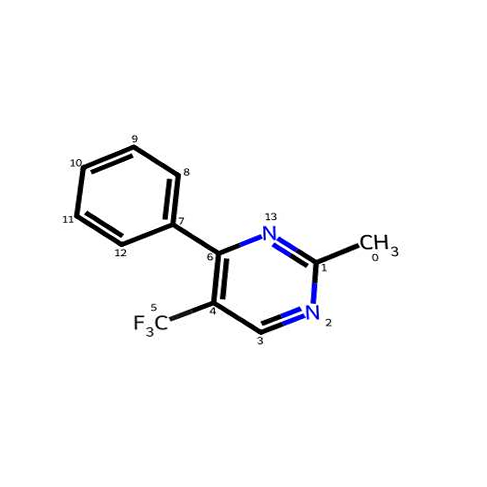 Cc1ncc(C(F)(F)F)c(-c2ccccc2)n1